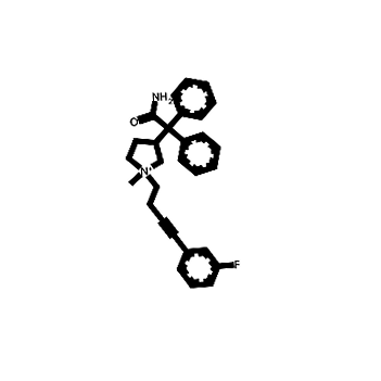 C[N+]1(CCC#Cc2cccc(F)c2)CCC(C(C(N)=O)(c2ccccc2)c2ccccc2)C1